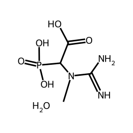 CN(C(=N)N)C(C(=O)O)P(=O)(O)O.O